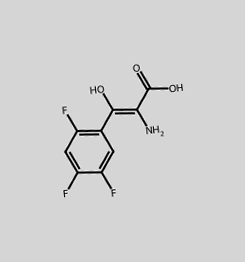 NC(C(=O)O)=C(O)c1cc(F)c(F)cc1F